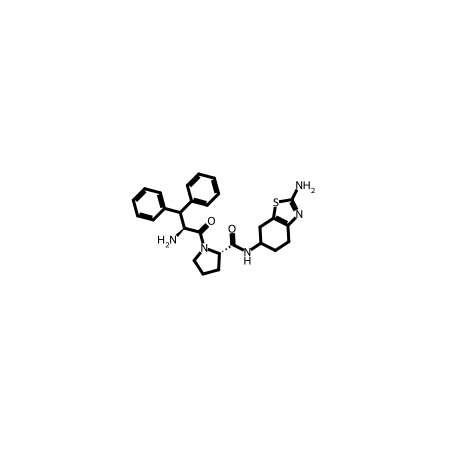 Nc1nc2c(s1)CC(NC(=O)[C@@H]1CCCN1C(=O)[C@@H](N)C(c1ccccc1)c1ccccc1)CC2